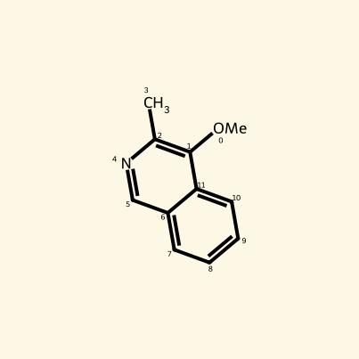 COc1c(C)ncc2ccccc12